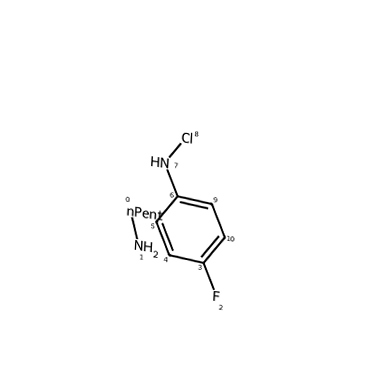 CCCCCN.Fc1ccc(NCl)cc1